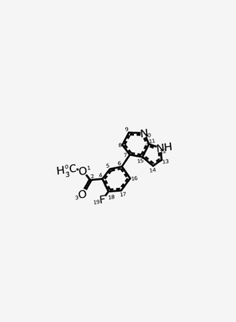 COC(=O)c1cc(-c2ccnc3[nH]ccc23)ccc1F